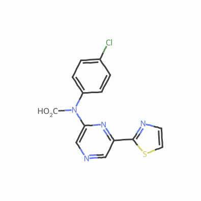 O=C(O)N(c1ccc(Cl)cc1)c1cncc(-c2nccs2)n1